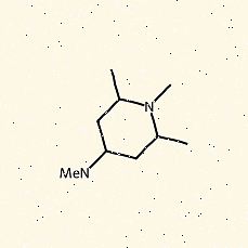 CNC1CC(C)N(C)C(C)C1